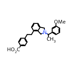 COc1cccc(C(C)N2Cc3cccc(CCc4ccc(C(=O)O)cc4)c3C2)c1